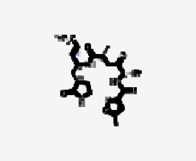 CCOC(=O)/C=C/[C@H](C[C@@H]1CCNC1=O)NC(=O)[C@H](C)CC(=O)[C@@H](NC(=O)c1cc(C)on1)C(C)C